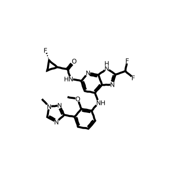 COc1c(Nc2cc(NC(=O)C3C[C@@H]3F)nc3[nH]c(C(F)F)nc23)cccc1-c1ncn(C)n1